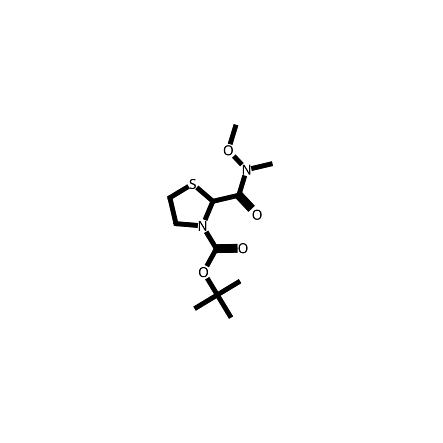 CON(C)C(=O)C1SCCN1C(=O)OC(C)(C)C